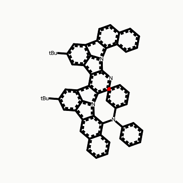 CC(C)(C)c1cc2c3cc4ccccc4c(N(c4ccccc4)c4ccccc4)c3n3c4cnc5c(c6cc(C(C)(C)C)cc7c8ccc9ccccc9c8n5c76)c4c(c1)c23